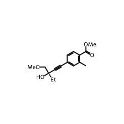 CC[C@](O)(C#Cc1ccc(C(=O)OC)c(C)c1)COC